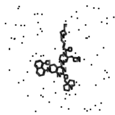 N#CC[C@H]1CN(c2nc(OCC34CCCN3CCC4)nc3c2CCN(c2cccc4cccc(Cl)c24)C3)CCN1C(=O)/C=C/CN1CC(F)C1